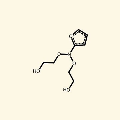 OCCON(OCCO)c1ccco1